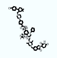 CC1CN(Cc2ccc3c(c2)CN(C2CCC(=O)NC2=O)C3=O)CC(C)N1CC[C@H](CSc1ccccc1)Nc1ccc(S(=O)(=O)NC(=O)c2ccc(N3CCN(CC4=C(c5ccc(Cl)cc5)CCC(C)(C)C4)CC3)cc2)cc1S(=O)(=O)C(F)(F)F